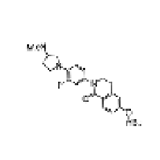 CCCCOc1ccc2c(c1)CCN(c1ccc(N3CCC(NC)C3)c(F)c1)C2=O